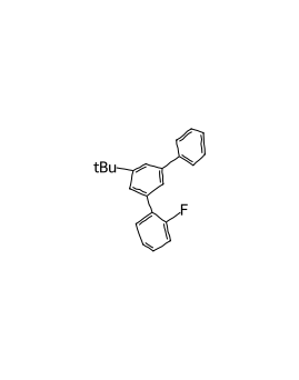 CC(C)(C)c1cc(-c2ccccc2)cc(-c2ccccc2F)c1